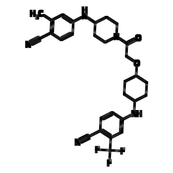 Cc1cc(NC2CCN(C(=O)COC3CCC(Nc4ccc(C#N)c(C(F)(F)F)c4)CC3)CC2)ccc1C#N